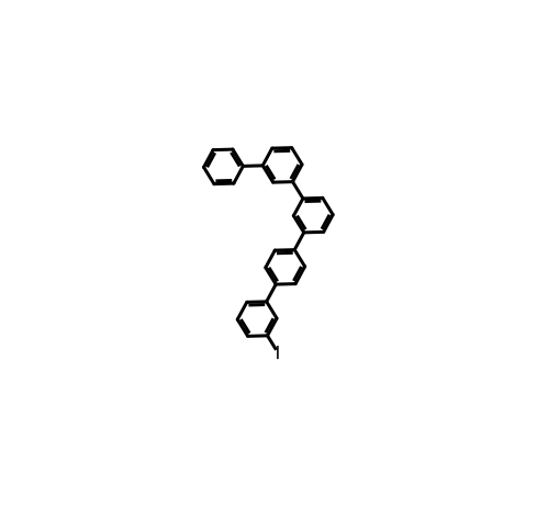 Ic1cccc(-c2ccc(-c3cccc(-c4cccc(-c5ccccc5)c4)c3)cc2)c1